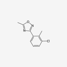 Cc1nc(-c2cccc(Cl)c2C)no1